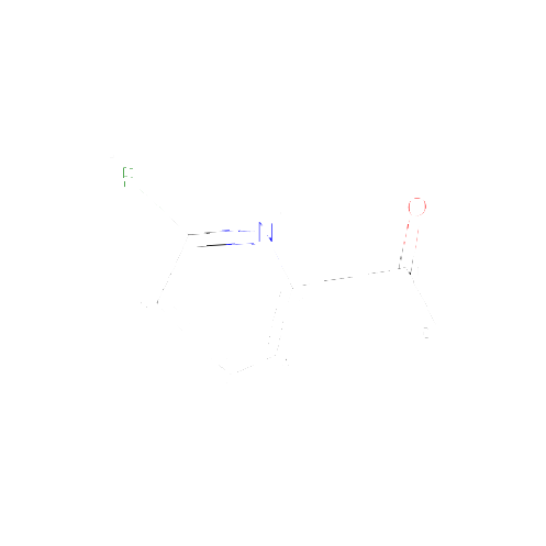 CC(=O)c1cccc(F)n1